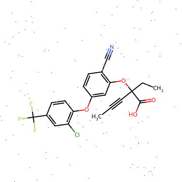 CC#CC(CC)(Oc1cc(Oc2ccc(C(F)(F)F)cc2Cl)ccc1C#N)C(=O)O